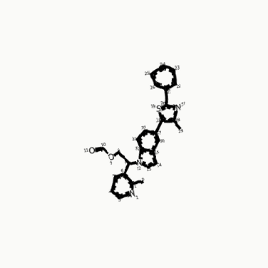 Cc1ncccc1C(COC=O)n1ccc2cc(-c3sc(-c4ccccc4)nc3C)ccc21